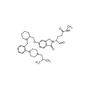 CNC(=O)CCC(C=O)N1Cc2cc(OCC3CCCCN3Cc3ccccc3N3CCN(CC(C)C)CC3)ccc2C1=O